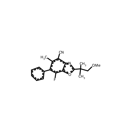 COCC(C)(C)c1nc2c(C#N)c(C)c(-c3ccccc3)c(F)c2o1